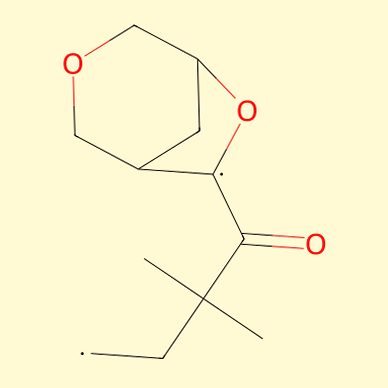 [CH2]CC(C)(C)C(=O)[C]1OC2COCC1C2